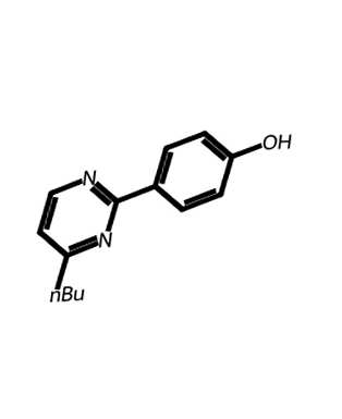 CCCCc1ccnc(-c2ccc(O)cc2)n1